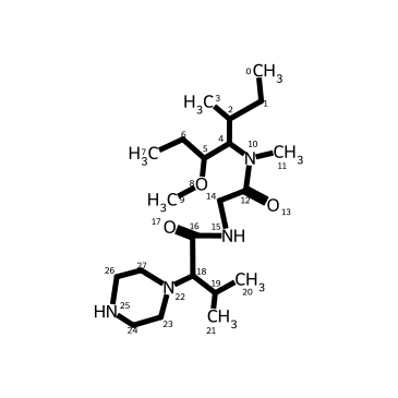 CCC(C)C(C(CC)OC)N(C)C(=O)CNC(=O)C(C(C)C)N1CCNCC1